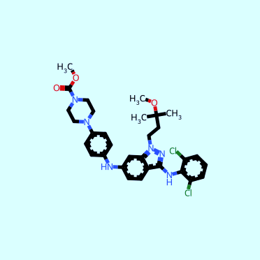 COC(=O)N1CCN(c2ccc(Nc3ccc4c(Nc5c(Cl)cccc5Cl)nn(CCC(C)(C)OC)c4c3)cc2)CC1